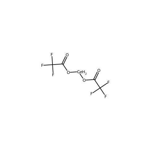 O=C([O][GeH2][O]C(=O)C(F)(F)F)C(F)(F)F